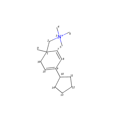 CC1(C[N+](C)(C)C)C=CC(C2CCCC2)=CC1